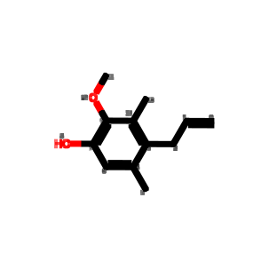 C=CCc1c(C)cc(O)c(OC)c1C